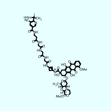 CCCCCCC(C)(I)c1ncc(C(=O)NCCC(=O)NCC(=O)NCC(=O)NCC(=O)NC23CC(NC(=O)[C@]4(O)Cc5c(O)c6c(c(O)c5[C@@H](O[C@H]5C[C@H]7[C@H](O[C@@H]8[C@@H](OC)OCCN87)[C@H](C)O5)C4)C(=O)c4c(OC)cccc4C6=O)(C2)C3)cc1C#N